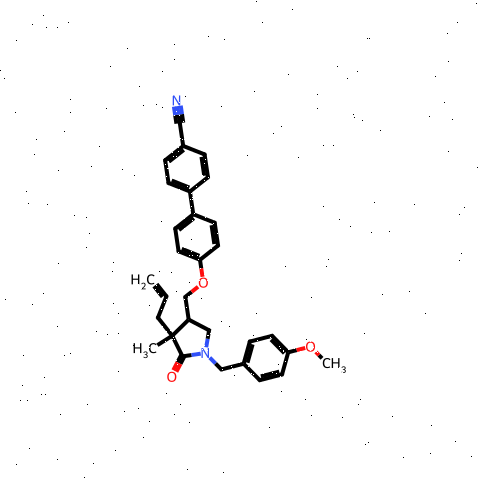 C=CCC1(C)C(=O)N(Cc2ccc(OC)cc2)CC1COc1ccc(-c2ccc(C#N)cc2)cc1